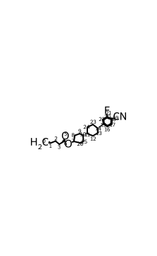 C=CCCC(=O)OC1CCC([C@H]2CC[C@H](c3ccc(C#N)c(F)c3)CC2)CC1